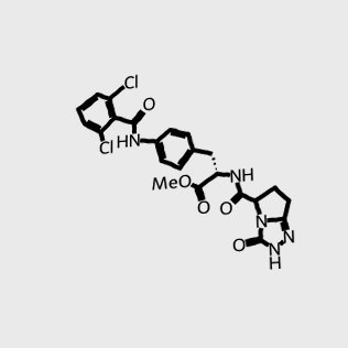 COC(=O)[C@H](Cc1ccc(NC(=O)c2c(Cl)cccc2Cl)cc1)NC(=O)C1CCc2n[nH]c(=O)n21